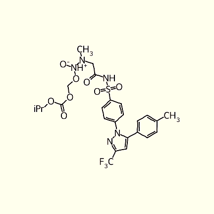 Cc1ccc(-c2cc(C(F)(F)F)nn2-c2ccc(S(=O)(=O)NC(=O)CN(C)[NH+]([O-])OCOC(=O)OC(C)C)cc2)cc1